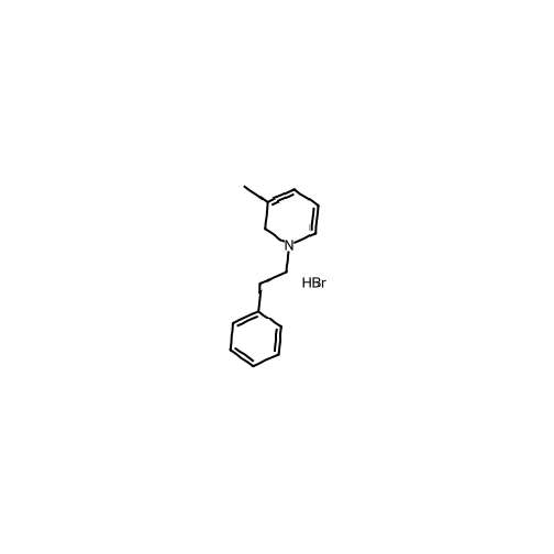 Br.CC1=CC=CN(CCc2ccccc2)C1